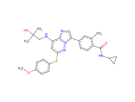 COc1ccc(Sc2cc(NCC(C)(C)O)c3ncc(-c4ccc(C(=O)NC5CC5)c(C)c4)n3n2)cc1